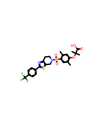 Cc1cc(S(=O)(=O)N2CCc3nc(-c4ccc(C(F)(F)F)cc4)sc3C2)c(C)cc1OC(C)(C)C(=O)O